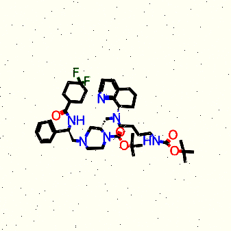 CC(C)(C)OC(=O)NCCCCN(C[C@H]1CN(C[C@H](NC(=O)C2CCC(F)(F)CC2)c2ccccc2)CCN1C(=O)OC(C)(C)C)[C@H]1CCCc2cccnc21